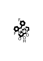 O=C1c2c(O)c(=O)cnn2[C@H](C(c2cccc(F)c2)c2cccc(F)c2)N2CCCN12